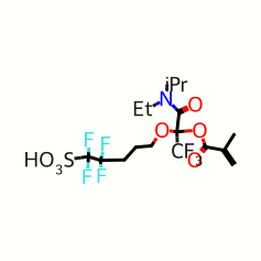 C=C(C)C(=O)OC(OCCCC(F)(F)C(F)(F)S(=O)(=O)O)(C(=O)N(CC)C(C)C)C(F)(F)F